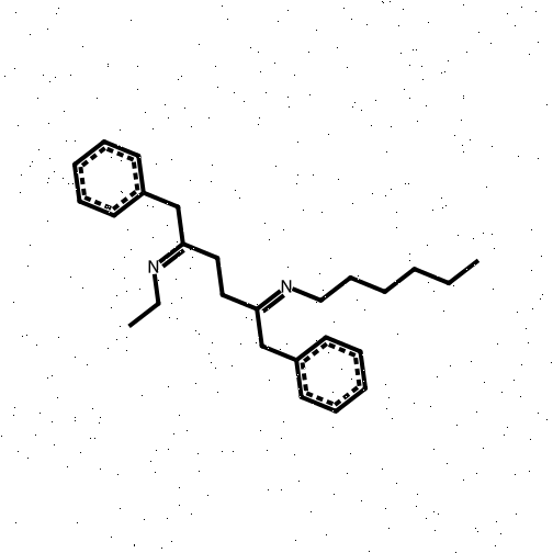 CCCCCCN=C(CCC(Cc1ccccc1)=NCC)Cc1ccccc1